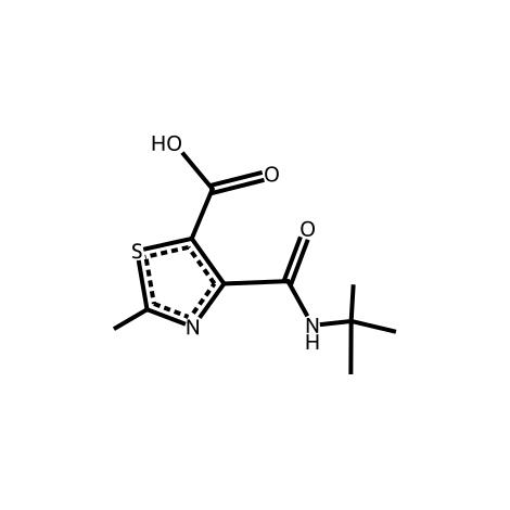 Cc1nc(C(=O)NC(C)(C)C)c(C(=O)O)s1